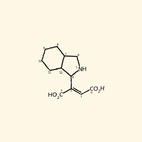 O=C(O)/C=C(/C(=O)O)C1NCC2CCCCC21